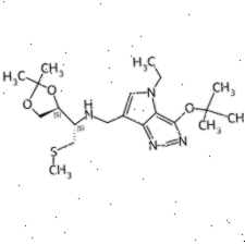 CCn1cc(CN[C@H](CSC)[C@H]2COC(C)(C)O2)c2ncnc(OC(C)(C)C)c21